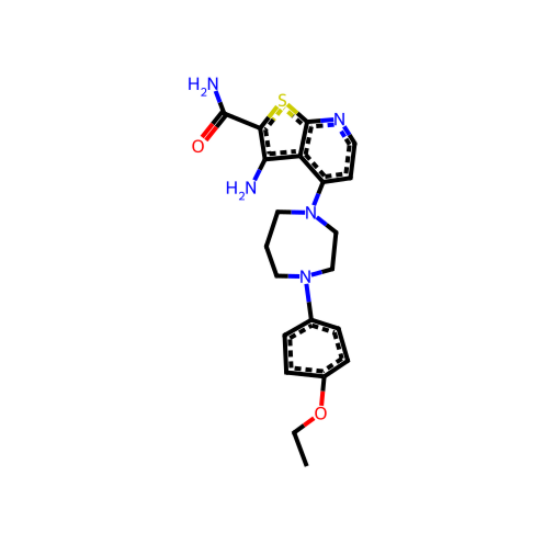 CCOc1ccc(N2CCCN(c3ccnc4sc(C(N)=O)c(N)c34)CC2)cc1